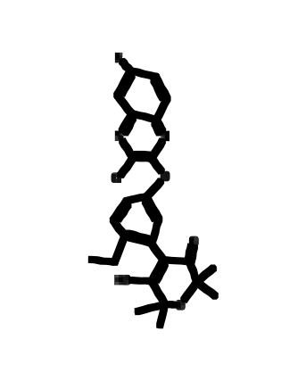 CCc1ccc(Oc2nc3ccc(F)cc3nc2Cl)cc1C1=C(O)C(C)(C)OC(C)(C)C1=O